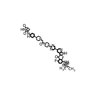 CCN(C)S(=O)(=O)Nc1ccc(F)c(C(=O)c2c[nH]c3ncc(-c4cnc(N5CCN(C(=O)CN6CCC(c7ccc(NC89CC(C8)C(=O)NC9=O)cc7)CC6)CC5)nc4)cc23)c1F